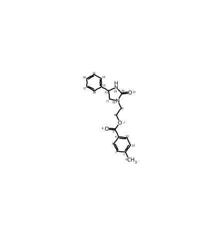 Cc1ccc(C(=O)OCCN2CC(c3ccccc3)NC2=O)cc1